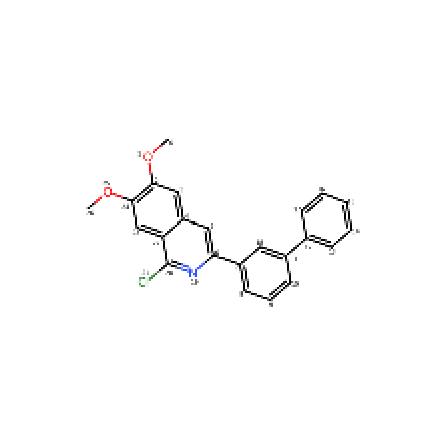 COc1cc2cc(-c3cccc(-c4ccccc4)c3)nc(Cl)c2cc1OC